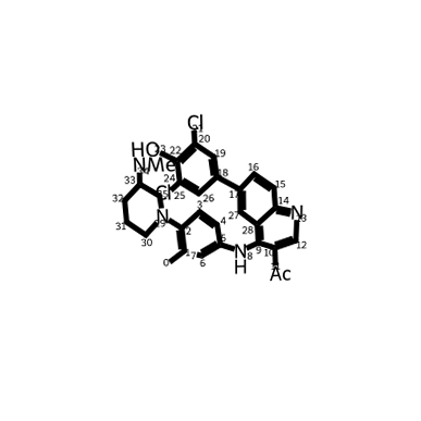 CC=C(/C=C\C(=C/C)Nc1c(C(C)=O)cnc2ccc(-c3cc(Cl)c(O)c(Cl)c3)cc12)N1CCCC(NC)C1